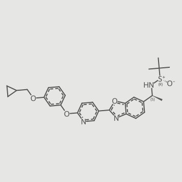 C[C@H](N[S@@+]([O-])C(C)(C)C)c1ccc2nc(-c3ccc(Oc4cccc(OCC5CC5)c4)nc3)oc2c1